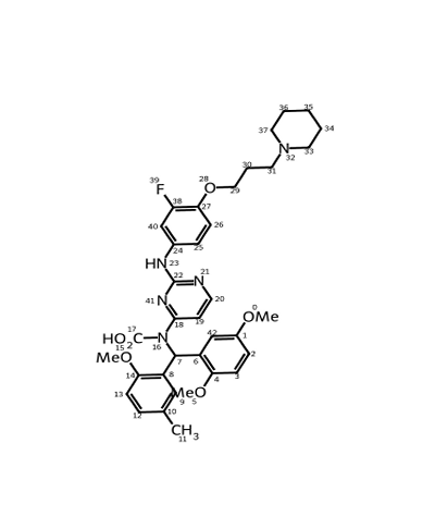 COc1ccc(OC)c(C(c2cc(C)ccc2OC)N(C(=O)O)c2ccnc(Nc3ccc(OCCCN4CCCCC4)c(F)c3)n2)c1